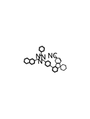 N#CC1C=CC2=C(C1)c1c(-c3ccc(-c4nc(-c5ccccc5)nc(-c5ccc6ccccc6c5)n4)cc3)cccc1C21CCCCC1